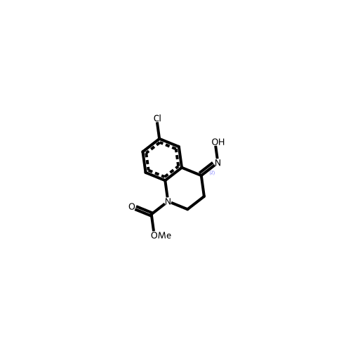 COC(=O)N1CC/C(=N/O)c2cc(Cl)ccc21